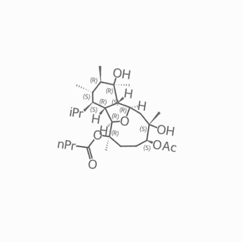 CCCC(=O)O[C@]1(C)CC[C@H](OC(C)=O)[C@@](C)(O)C[C@H]2O[C@@H]1[C@@H]1[C@@H](C(C)C)[C@H](C)[C@@H](C)[C@@](C)(O)[C@@H]12